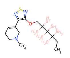 BC(B)(CC)C(B)(B)C(B)(B)COc1nsnc1C1=CCCN(C)C1